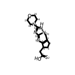 OC(=S)CC1CCC2=C1N=C1N=C(N3CCOCC3)NN1C2